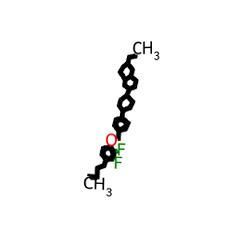 C/C=C/CCc1ccc(OCc2ccc(C3CCC(C4CCC5CC(CCC)CCC5C4)CC3)cc2)c(F)c1F